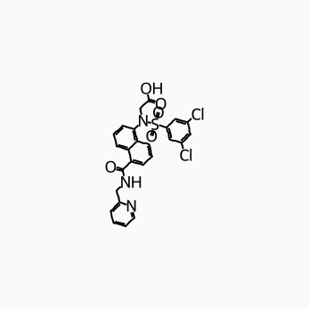 O=C(O)CN(c1cccc2c(C(=O)NCc3ccccn3)cccc12)S(=O)(=O)c1cc(Cl)cc(Cl)c1